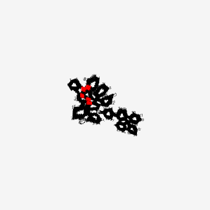 c1ccc(-n2c3ccccc3c3cc(-c4ccc5oc6cccc(N(c7ccc(-c8ccc9c(c8)C(c8ccccc8)(c8ccccc8)c8ccccc8-9)cc7)c7ccc8c(c7)C(c7ccccc7)(c7ccccc7)c7ccccc7-8)c6c5c4)ccc32)cc1